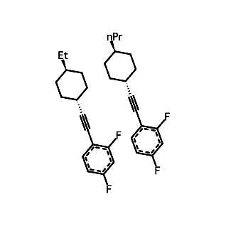 CCC[C@H]1CC[C@H](C#Cc2ccc(F)cc2F)CC1.CC[C@H]1CC[C@H](C#Cc2ccc(F)cc2F)CC1